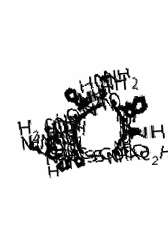 CC(=O)N[C@H]1CSSC[C@@H](C(=O)N2CCC[C@H]2C(=O)N2CCC[C@H]2C(=O)N[C@@H](CCCCN)C(=O)N[C@@H](CC(=O)O)C(N)=O)NC(=O)[C@H](C)NC(=O)[C@H](Cc2c[nH]c3ccccc23)NC(=O)[C@H](CCCNC(=N)N)NC(=O)[C@@H](Cc2ccc3ccccc3c2)NC(=O)[C@H](Cc2c[nH]cn2)NC(=O)[C@H](CCC(=O)O)NC1=O